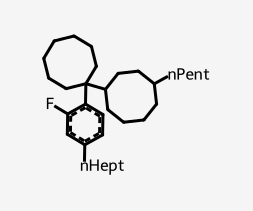 CCCCCCCc1ccc(C2(C3CCCCC(CCCCC)CC3)CCCCCCC2)c(F)c1